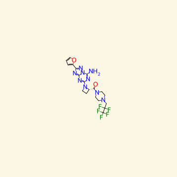 Nc1nc(N2CC[C@H]2C(=O)N2CCN(CC(F)(F)C(F)(F)F)CC2)nc2nc(-c3ccco3)nn12